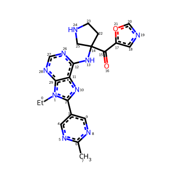 CCn1c(-c2cnc(C)nc2)nc2c(NC3(C(=O)c4cnco4)CCNC3)ncnc21